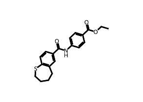 CCOC(=O)c1ccc(NC(=O)c2ccc3c(c2)CCCCS3)cc1